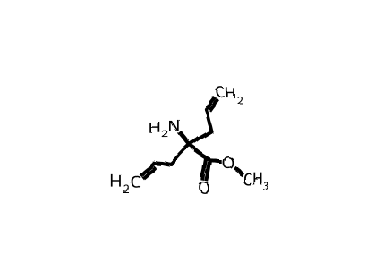 C=CCC(N)(CC=C)C(=O)OC